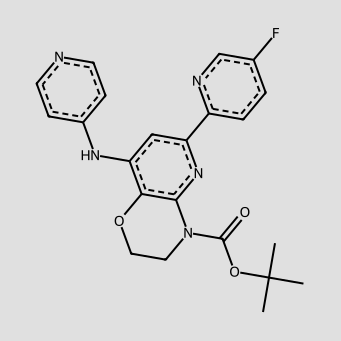 CC(C)(C)OC(=O)N1CCOc2c(Nc3ccncc3)cc(-c3ccc(F)cn3)nc21